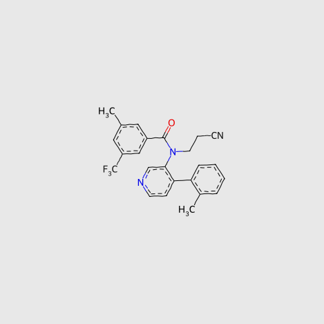 Cc1cc(C(=O)N(CCC#N)c2cnccc2-c2ccccc2C)cc(C(F)(F)F)c1